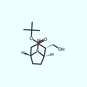 CC(C)(C)OC(=O)N1[C@@H]2CC[C@@H]1[C@@H](CO)NC2